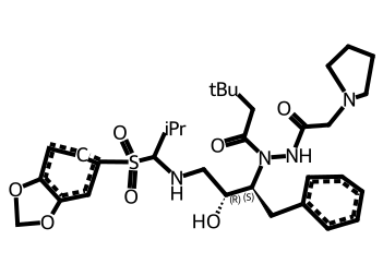 CC(C)C(NC[C@@H](O)[C@H](Cc1ccccc1)N(NC(=O)CN1CCCC1)C(=O)CC(C)(C)C)S(=O)(=O)c1ccc2c(c1)OCO2